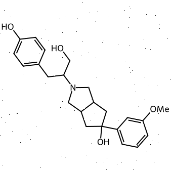 COc1cccc(C2(O)CC3CN(C(CO)Cc4ccc(O)cc4)CC3C2)c1